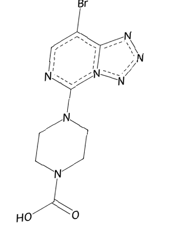 O=C(O)N1CCN(c2ncc(Br)c3nnnn23)CC1